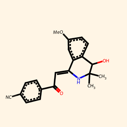 COc1ccc2c(c1)/C(=C/C(=O)c1ccc(C#N)cc1)NC(C)(C)C2O